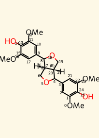 COc1cc(C2OC[C@@H]3C(c4cc(OC)c(O)c(OC)c4)OC[C@H]23)cc(OC)c1O